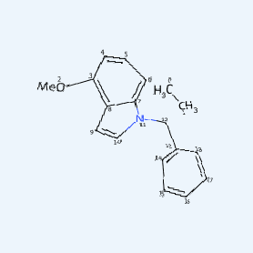 CC.COc1cccc2c1ccn2Cc1ccccc1